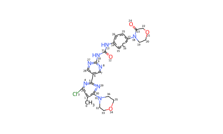 Cc1c(Cl)nc(-c2cnc(NC(=O)Nc3ccc(N4CCOCC4=O)cc3)nc2)nc1N1CCOCC1